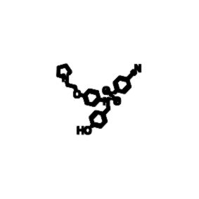 N#Cc1ccc(S(=O)(=O)N(Cc2ccc(O)cc2)c2ccc(OCCN3CCCC3)cc2)cc1